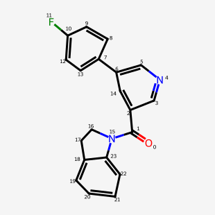 O=C(c1cncc(-c2ccc(F)cc2)c1)N1CCc2ccccc21